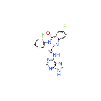 CC[C@@H](Nc1ncnc2[nH]cnc12)c1nc2ccc(F)cc2c(=O)n1-c1ccccc1F